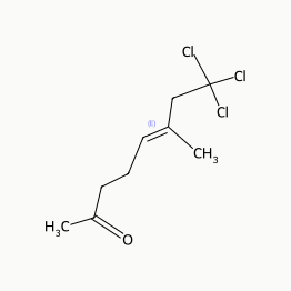 CC(=O)CC/C=C(\C)CC(Cl)(Cl)Cl